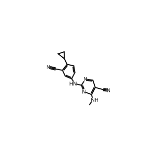 CNc1nc(Nc2ccc(C3CC3)c(C#N)c2)ncc1C#N